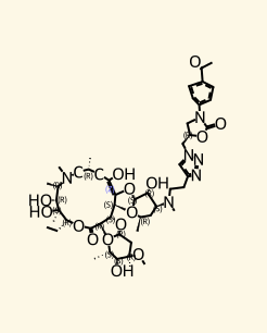 CC[C@H]1OC(=O)[C@H](C)[C@@H](O[C@H]2C[C@@](C)(OC)[C@@H](O)[C@H](C)O2)[C@H](C)/C(O[C@@H]2O[C@H](C)C[C@H](N(C)CCc3cn(C[C@H]4CN(c5ccc(C(C)=O)cc5)C(=O)O4)nn3)[C@H]2O)=C(/O)C[C@@H](C)CN(C)[C@H](C)[C@@H](O)[C@]1(C)O